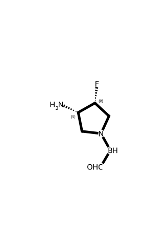 N[C@H]1CN(BC=O)C[C@H]1F